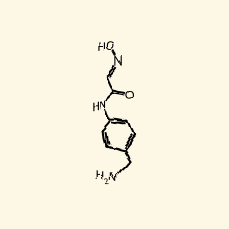 NCc1ccc(NC(=O)C=NO)cc1